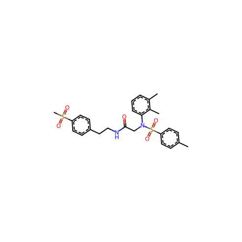 Cc1ccc(S(=O)(=O)N(CC(=O)NCCc2ccc(S(C)(=O)=O)cc2)c2cccc(C)c2C)cc1